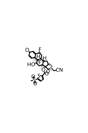 C[C@@H]1C[C@H]2[C@@H]3C[C@H](F)C4=CC(=O)C=C[C@]4(C)[C@@]3(F)[C@@H](O)C[C@]2(C)[C@@]1(OC(=O)c1ccc(S(C)(=O)=O)s1)C(=O)SCC#N